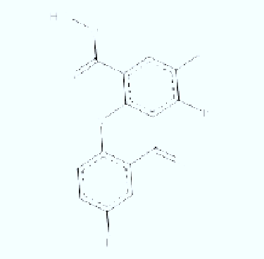 COC(=O)c1cc(F)c(Br)cc1Nc1ccc(F)cc1C=O